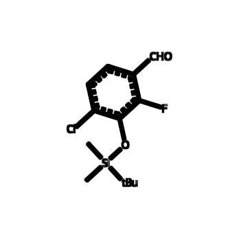 CC(C)(C)[Si](C)(C)Oc1c(Cl)ccc(C=O)c1F